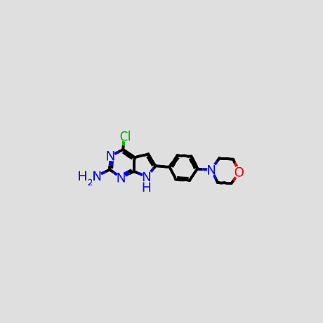 Nc1nc(Cl)c2cc(-c3ccc(N4CCOCC4)cc3)[nH]c2n1